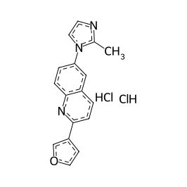 Cc1nccn1-c1ccc2nc(-c3ccoc3)ccc2c1.Cl.Cl